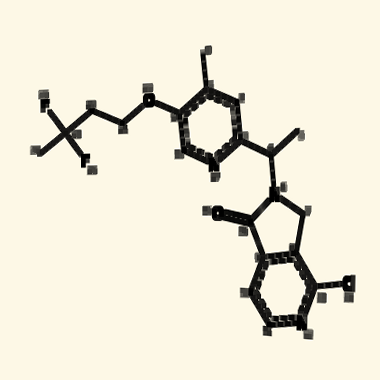 Cc1cc(C(C)N2Cc3c(ccnc3Cl)C2=O)ncc1OCCC(C)(F)F